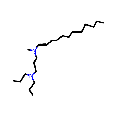 CCCCCCCCCC/C=C/N(C)CCCN(CCC)CCC